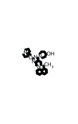 CCc1cccc2cccc(N3CCc4c(nc(OCC56CCCN5CCC6)nc4N4CCCC(O)CC4)C3)c12